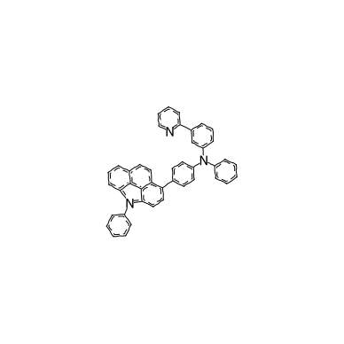 c1ccc(N(c2ccc(-c3ccc4c5c3ccc3cccc(c35)n4-c3ccccc3)cc2)c2cccc(-c3ccccn3)c2)cc1